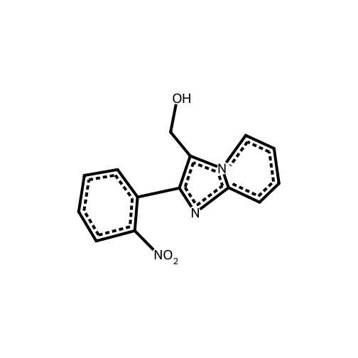 O=[N+]([O-])c1ccccc1-c1nc2ccccn2c1CO